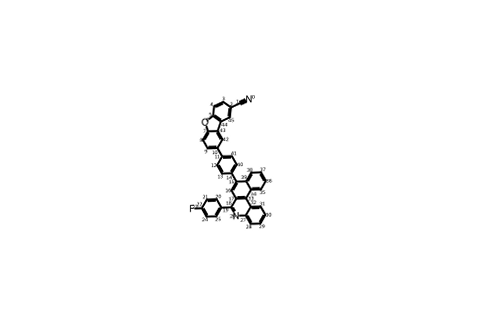 N#Cc1ccc2oc3ccc(-c4ccc(-c5cc6c(-c7ccc(F)cc7)nc7ccccc7c6c6ccccc56)cc4)cc3c2c1